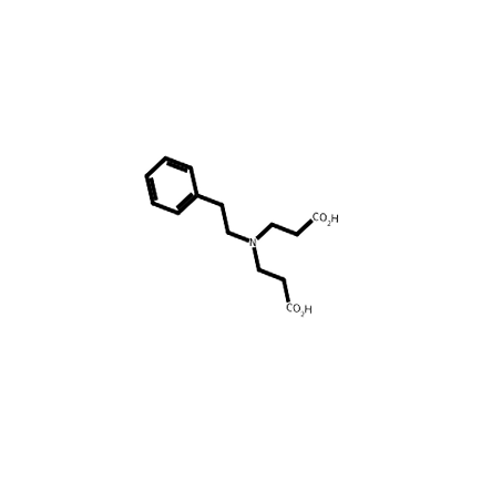 O=C(O)CCN(CCC(=O)O)CCc1ccccc1